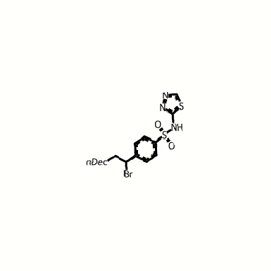 CCCCCCCCCCCC(Br)c1ccc(S(=O)(=O)Nc2nncs2)cc1